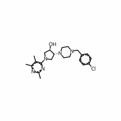 Cc1nc(C)c(C)c(N2C[C@@H](O)[C@H](N3CCN(Cc4ccc(Cl)cc4)CC3)C2)n1